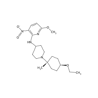 CCO[C@H]1CC[C@](C)(N2CCC(Nc3nc(OC)ccc3[N+](=O)[O-])CC2)CC1